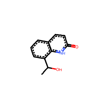 CC(O)c1cccc2ccc(=O)[nH]c12